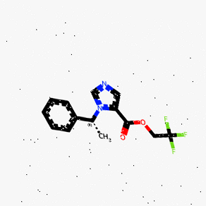 C[C@H](c1ccccc1)n1cncc1C(=O)OCC(F)(F)F